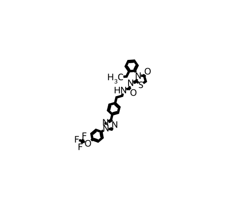 CCc1ccccc1N1C(=O)CS/C1=N\C(=O)NCCc1ccc(-c2ncn(-c3ccc(OC(F)(F)F)cc3)n2)cc1